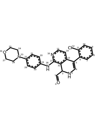 O=CC1NC=C(c2ccccc2Cl)c2ccnc(Nc3ccc(N4CCOCC4)cc3)c21